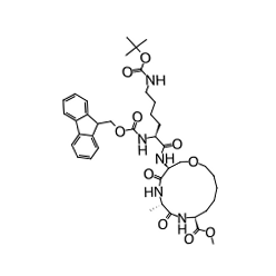 COC(=O)[C@@H]1CCCCCOC[C@H](NC(=O)[C@H](CCCCNC(=O)OC(C)(C)C)NC(=O)OCC2c3ccccc3-c3ccccc32)C(=O)N[C@@H](C)C(=O)N1